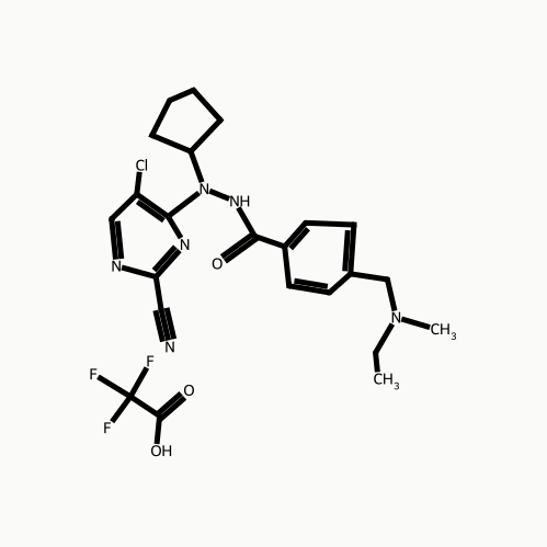 CCN(C)Cc1ccc(C(=O)NN(c2nc(C#N)ncc2Cl)C2CCCC2)cc1.O=C(O)C(F)(F)F